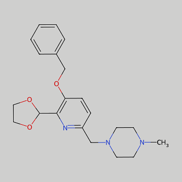 CN1CCN(Cc2ccc(OCc3ccccc3)c(C3OCCO3)n2)CC1